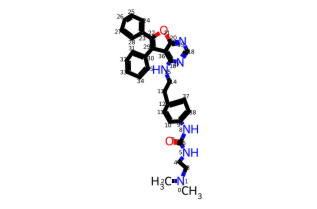 CN(C)CCNC(=O)Nc1ccc(CCNc2ncnc3oc(-c4ccccc4)c(-c4ccccc4)c23)cc1